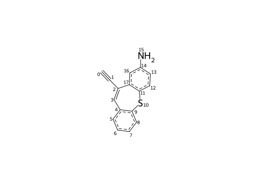 C#CC1=Cc2ccccc2Sc2ccc(N)cc21